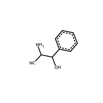 N#CC(N)C(O)c1ccccc1